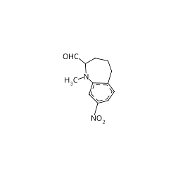 CN1c2cc([N+](=O)[O-])ccc2CCCC1C=O